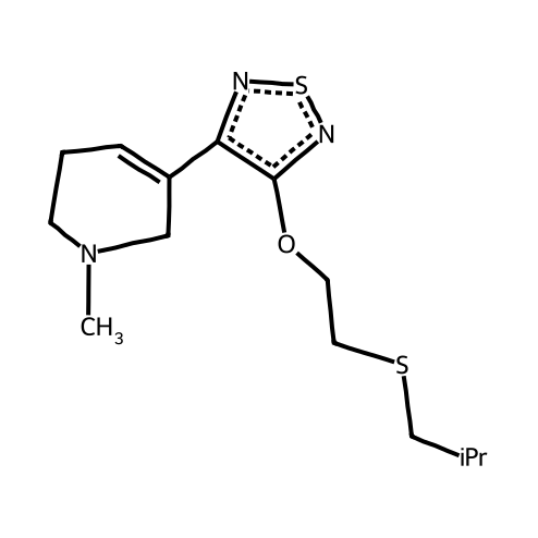 CC(C)CSCCOc1nsnc1C1=CCCN(C)C1